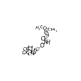 Cc1ccc(C)c(N2CCN(CC(=O)Nc3ccc(C4CCN(C(=O)Nc5c(Cl)cccc5Cl)CC4)cc3)CC2)c1